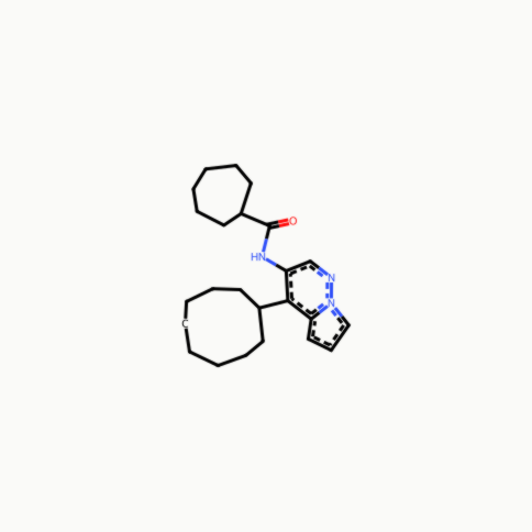 O=C(Nc1cnn2cccc2c1C1CCCCCCCC1)C1CCCCCC1